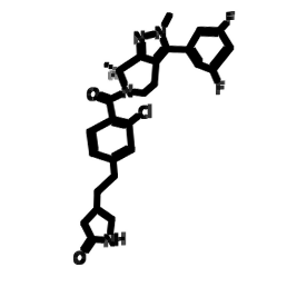 C[C@@H]1c2nn(C)c(-c3cc(F)cc(F)c3)c2CCN1C(=O)c1ccc(CCC2CNC(=O)C2)cc1Cl